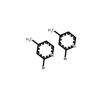 Cc1ccnc(Br)c1.Cc1ccnc(Br)c1